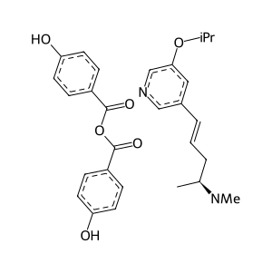 CN[C@@H](C)C/C=C/c1cncc(OC(C)C)c1.O=C(OC(=O)c1ccc(O)cc1)c1ccc(O)cc1